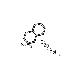 [Cd].[Cr].[PbH2].[SbH3].[Zn].c1ccc2ccccc2c1